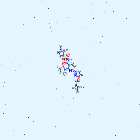 CC1=CC(C)(C)N(c2nc(-n3ccc(OCC45CC(F)(C4)C5)n3)ccc2C(=O)NS(=O)(=O)c2cnn(C)c2C)C1